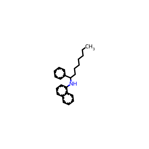 CCCCCCCC(Nc1cccc2ccccc12)c1ccccc1